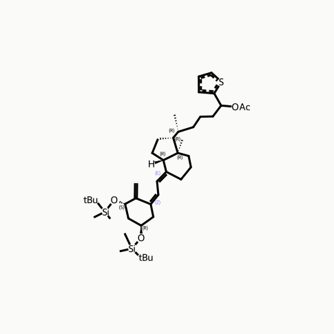 C=C1/C(=C\C=C2/CCC[C@]3(C)[C@@H]([C@H](C)CCCC(OC(C)=O)c4cccs4)CC[C@@H]23)C[C@@H](O[Si](C)(C)C(C)(C)C)C[C@@H]1O[Si](C)(C)C(C)(C)C